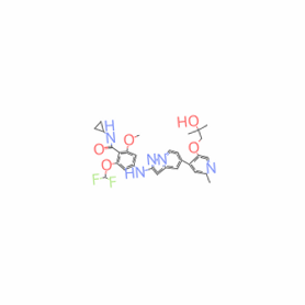 COc1cc(Nc2cc3cc(-c4cc(C)ncc4OCC(C)(C)O)ccn3n2)cc(OC(F)F)c1C(=O)NC1CC1